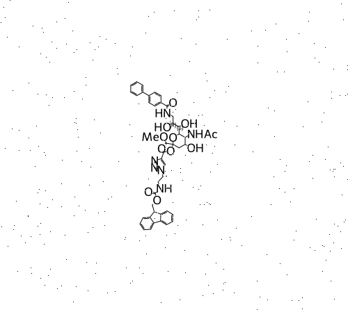 COC(=O)C1(OCc2cn(CCNC(=O)OCC3c4ccccc4-c4ccccc43)nn2)CC(O)C(NC(C)=O)C([C@@H](O)[C@H](O)CNC(=O)c2ccc(-c3ccccc3)cc2)O1